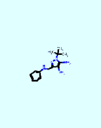 CC(C)(C)n1nc(CNc2ccccc2)c(N)c1N